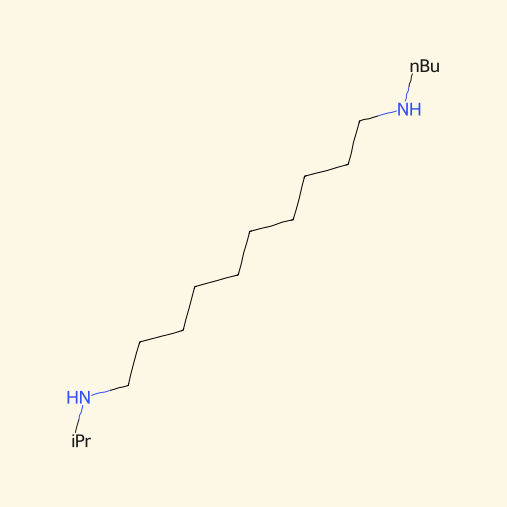 CCCCNCCCCCCCCCCNC(C)C